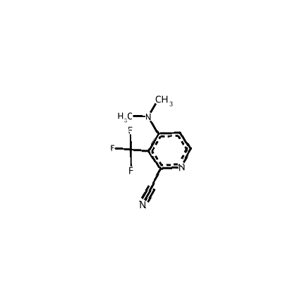 CN(C)c1ccnc(C#N)c1C(F)(F)F